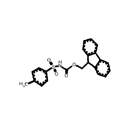 Cc1ccc(S(=O)(=O)NC(=O)OCC2c3ccccc3-c3ccccc32)cc1